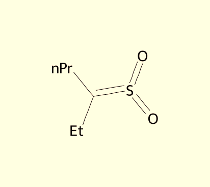 CCCC(CC)=S(=O)=O